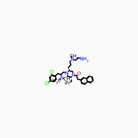 CC(C)C[C@@H]1CN(CC(Cc2ccc(Cl)cc2Cl)N(C)C)[C@@H](CCCN(C)CCN)CN1C(=O)Cc1ccc2ccccc2c1